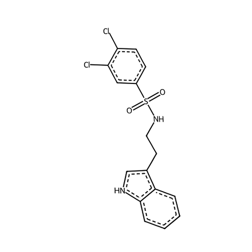 O=S(=O)(NCCc1c[nH]c2ccccc12)c1ccc(Cl)c(Cl)c1